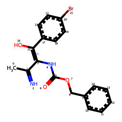 CC(=N)/C(NC(=O)OCc1ccccc1)=C(\O)c1ccc(Br)cc1